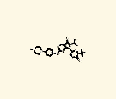 CC(C)n1c(=O)c2cnc(Nc3ccc(N4CCN(C)CC4)cc3)nc2n1-c1ccc(=O)n(C(C)(C)C)n1